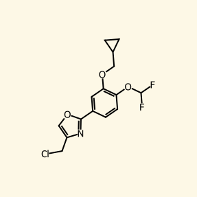 FC(F)Oc1ccc(-c2nc(CCl)co2)cc1OCC1CC1